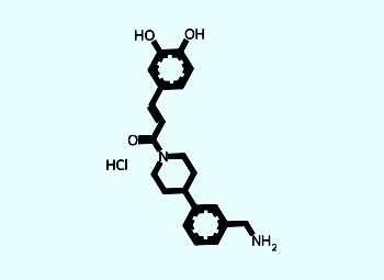 Cl.NCc1cccc(C2CCN(C(=O)/C=C/c3ccc(O)c(O)c3)CC2)c1